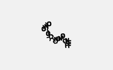 CC(=O)N(CCCOc1ccc(C2CCCC3CN(C(=O)c4ccc(C(F)(F)F)nc4)CCN32)c(C)c1C)C(C)=O